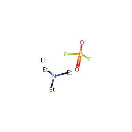 CCN(CC)CC.O=P([O-])(F)F.[Li+]